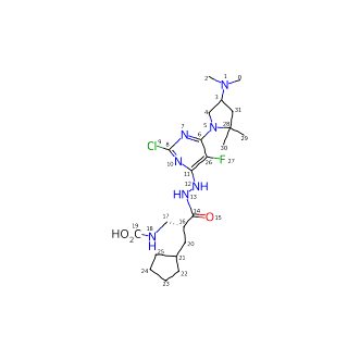 CN(C)C1CN(c2nc(Cl)nc(NNC(=O)[C@@H](CNC(=O)O)CC3CCCC3)c2F)C(C)(C)C1